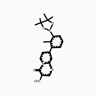 Cc1c(B2OC(C)(C)C(C)(C)O2)cccc1-c1ccn2c(=O)c(C=O)cnc2c1